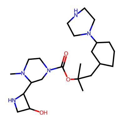 CN1CCN(C(=O)OC(C)(C)CC2CCCC(N3CCNCC3)C2)CC1C1NCC1O